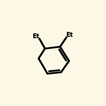 CCC1=CC=CCC1CC